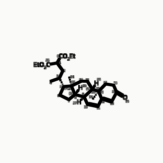 CCOC(=O)C(CC(C)[C@H]1CC[C@H]2[C@@H]3C=CC4=CC(=O)CC[C@]4(C)[C@H]3CC[C@]12C)C(=O)OCC